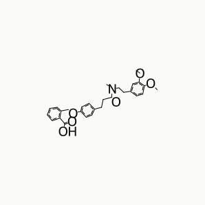 COc1ccc(CCN(C)C(=O)CCc2ccc(OCc3ccccc3C(=O)O)cc2)cc1OC